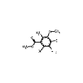 COC(=O)c1c(C)c(OC)c(Cl)c(C)c1Br